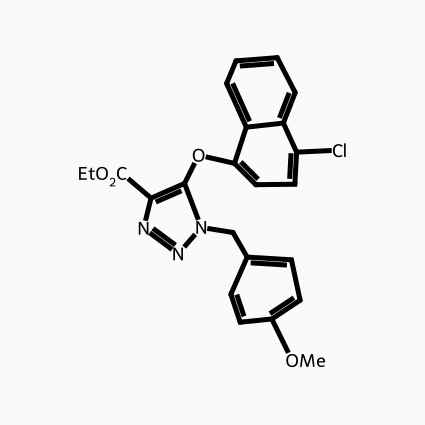 CCOC(=O)c1nnn(Cc2ccc(OC)cc2)c1Oc1ccc(Cl)c2ccccc12